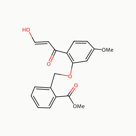 COC(=O)c1ccccc1COc1cc(OC)ccc1C(=O)/C=C/O